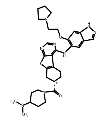 CN(C)C1CCN(C(=O)[C@H]2CCc3c(sc4ncnc(Nc5cc6cn[nH]c6cc5OCCN5CCCC5)c34)C2)CC1